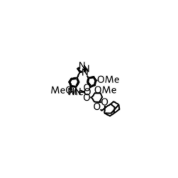 COc1ccc(-c2cnnn2-c2cc(OC)c(OC)c(OC)c2)cc1NC(=O)OC1CCCC2(C1)OCC1(O2)C2CC3CC(C2)CC1C3